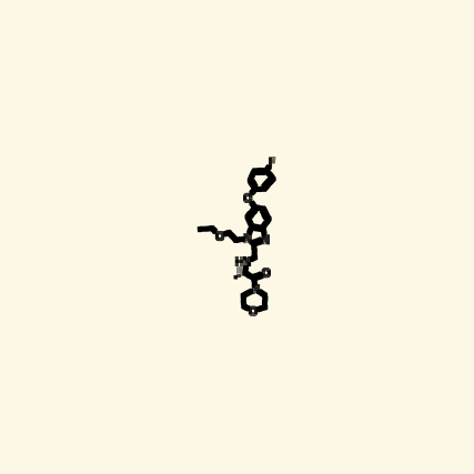 CCOCCn1c(CN[C@@H](C)C(=O)N2CCOCC2)nc2ccc(Oc3ccc(F)cc3)cc21